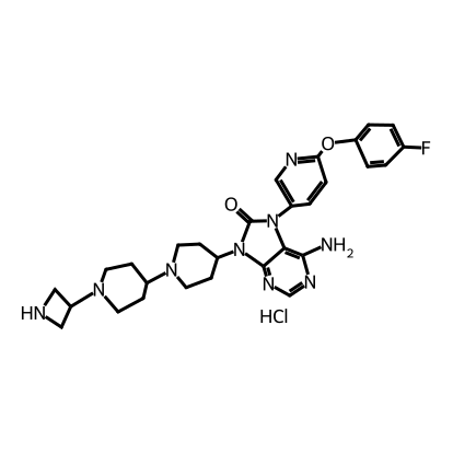 Cl.Nc1ncnc2c1n(-c1ccc(Oc3ccc(F)cc3)nc1)c(=O)n2C1CCN(C2CCN(C3CNC3)CC2)CC1